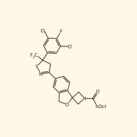 CCCCCCCCC(=O)N1CC2(C1)OCc1cc(C3=NSC(c4cc(Cl)c(F)c(Cl)c4)(C(F)(F)F)C3)ccc12